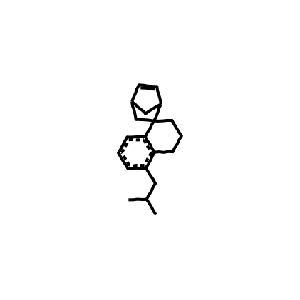 CC(C)Cc1cccc2c1CCCC21CC2C=CC1C2